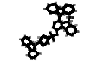 CC(C)(Cc1ccc(-n2c3ccccc3c3ccccc32)c2c1c1ccccc1n2C(C)(C)C)c1ccc(-n2c3ccccc3c3ccccc32)cc1